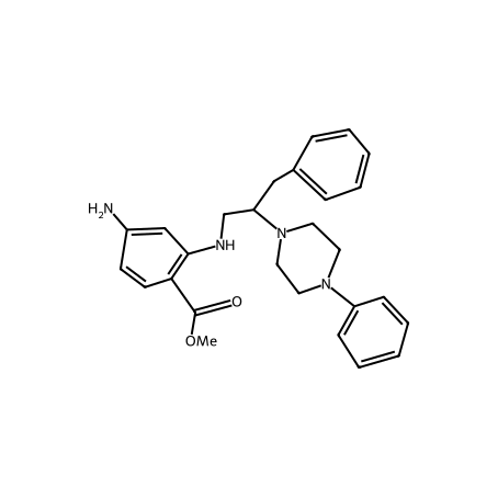 COC(=O)c1ccc(N)cc1NCC(Cc1ccccc1)N1CCN(c2ccccc2)CC1